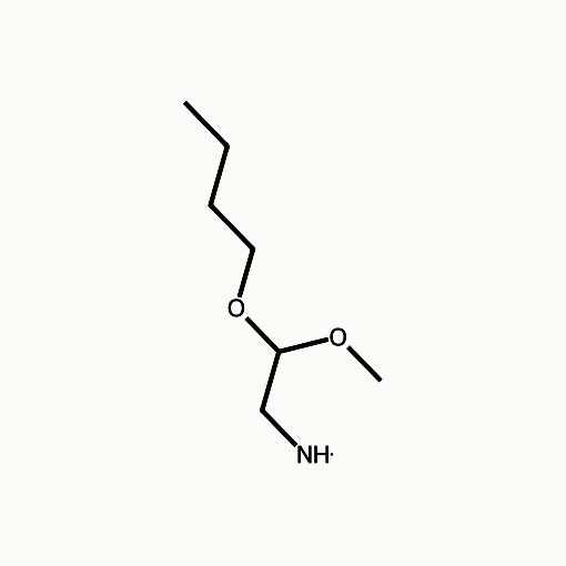 CCCCOC(C[NH])OC